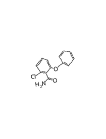 NC(=O)c1c(Cl)cccc1Oc1ccccc1